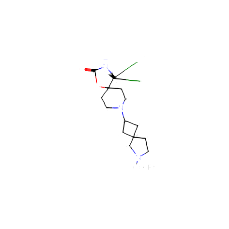 CCOC(=O)N1CCC2(CC(N3CCC4(CC3)OC(=O)NC43CC(F)(F)C3)C2)C1